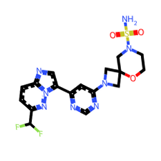 NS(=O)(=O)N1CCOC2(CN(c3cc(-c4cnc5ccc(C(F)F)nn45)ncn3)C2)C1